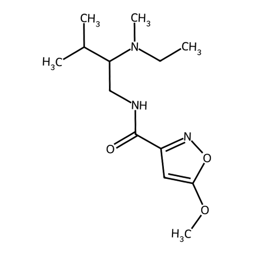 CCN(C)C(CNC(=O)c1cc(OC)on1)C(C)C